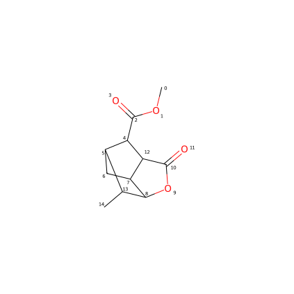 COC(=O)C1C2CC3C(OC(=O)C31)C2C